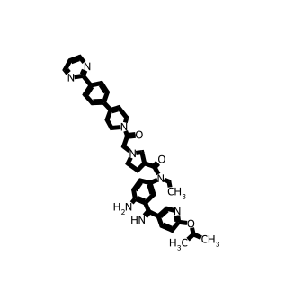 CCN(C(=O)C1CCN(CC(=O)N2CC=C(c3ccc(-c4ncccn4)cc3)CC2)C1)c1ccc(N)c(C(=N)c2ccc(OC(C)C)nc2)c1